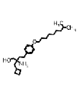 CC(C)CCCCCCCOc1ccc(CCC(N)(CO)CC2CCC2)cc1